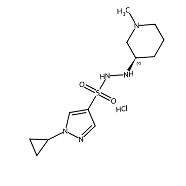 CN1CCC[C@@H](NNS(=O)(=O)c2cnn(C3CC3)c2)C1.Cl